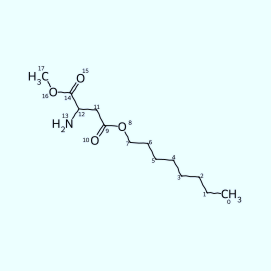 CCCCCCCCOC(=O)CC(N)C(=O)OC